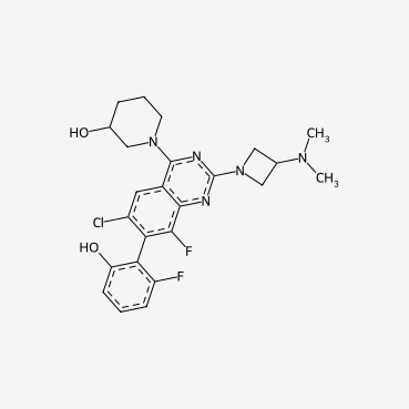 CN(C)C1CN(c2nc(N3CCCC(O)C3)c3cc(Cl)c(-c4c(O)cccc4F)c(F)c3n2)C1